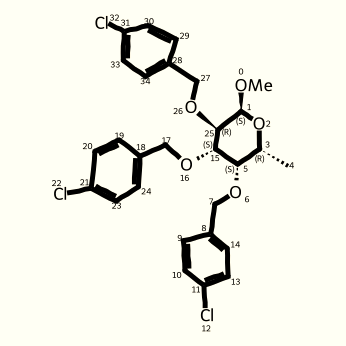 CO[C@H]1O[C@H](C)[C@H](OCc2ccc(Cl)cc2)[C@H](OCc2ccc(Cl)cc2)[C@H]1OCc1ccc(Cl)cc1